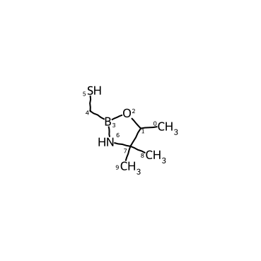 CC1OB(CS)NC1(C)C